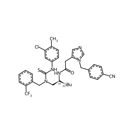 CC[C@H](C)[C@@H](CN(Cc1ccccc1C(F)(F)F)C(=S)Nc1ccc(C)c(Cl)c1)NC(=O)Cc1cncn1Cc1ccc(C#N)cc1